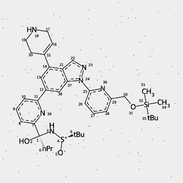 CCC[C@@](O)(N[S@+]([O-])C(C)(C)C)c1cccc(-c2cc(C3=CCNCC3)c3cnn(-c4cccc(CO[Si](C)(C)C(C)(C)C)n4)c3c2)n1